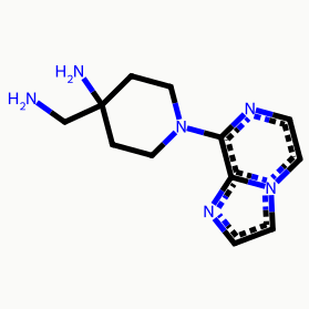 NCC1(N)CCN(c2nccn3ccnc23)CC1